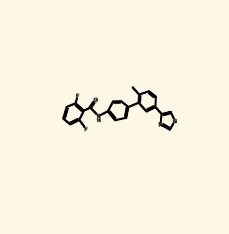 Cc1ccc(-c2cocn2)cc1-c1ccc(NC(=O)c2c(F)cccc2F)cc1